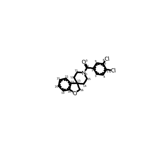 O=C(c1ccc(Cl)c(Cl)c1)N1CCC2(CC1)COc1ccccc12